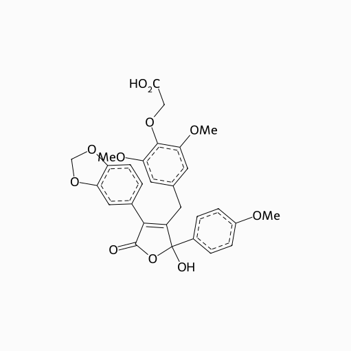 COc1ccc(C2(O)OC(=O)C(c3ccc4c(c3)OCO4)=C2Cc2cc(OC)c(OCC(=O)O)c(OC)c2)cc1